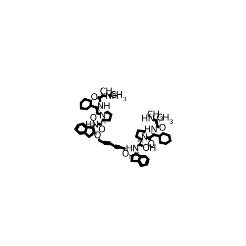 CN[C@H](C)C(=O)N[C@@H](C(=O)N1CCC[C@@H]1C(=O)N[C@@H]1c2ccccc2C[C@@H]1OCC#CC#CCO[C@H]1Cc2ccccc2[C@H]1NC(O)[C@H]1CCCN1C(=O)[C@H](NC(=O)[C@@H](C)NC)C1CCCCC1)C1CCCCC1